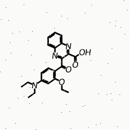 CCOc1cc(N(CC)CC)ccc1C(=O)c1nc2ccccc2nc1C(=O)O